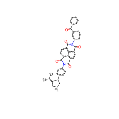 CCC(CC)=C1C[C@@H](C)CC1c1ccc(N2C(=O)c3ccc4c5c(ccc(c35)C2=O)C(=O)N(c2cccc(C(=O)c3ccccc3)c2)C4=O)cc1